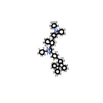 c1ccc(-c2nc(-c3ccc(-c4ccc5c(c4)C(c4ccccc4)(c4ccccc4)c4ccccc4-5)cc3)cc(-c3ccc(-c4ccc5c(c4)c4ccccc4n5-c4ccccc4)c4ccccc34)n2)cc1